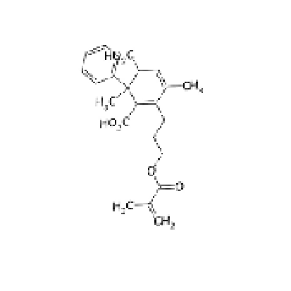 C=C(C)C(=O)OCCCC1=C(C(=O)O)C(C)(c2ccccc2)C(C(=O)O)C=C1C